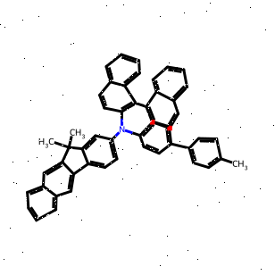 Cc1ccc(-c2ccc(N(c3ccc4c(c3)C(C)(C)c3cc5ccccc5cc3-4)c3ccc4ccccc4c3-c3cccc4ccccc34)cc2)cc1